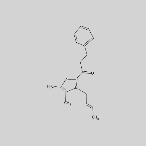 CC=CCn1c(C(=O)CCc2ccccc2)cc(C)c1C